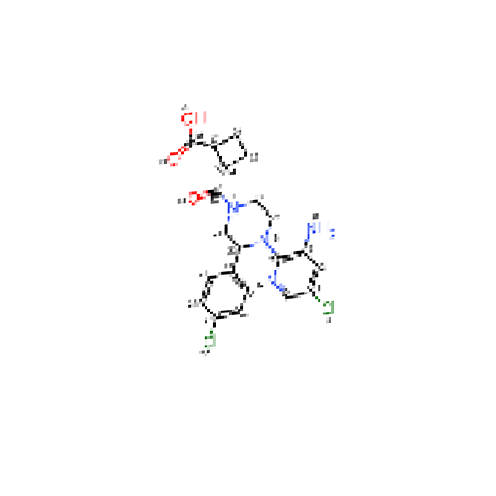 Nc1cc(Cl)cnc1N1CCN(C(=O)[C@H]2CCC2C(=O)O)CC1c1ccc(Cl)cc1